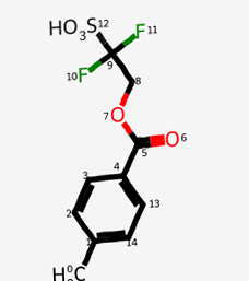 Cc1ccc(C(=O)OCC(F)(F)S(=O)(=O)O)cc1